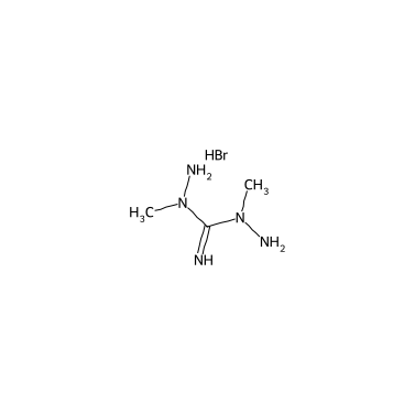 Br.CN(N)C(=N)N(C)N